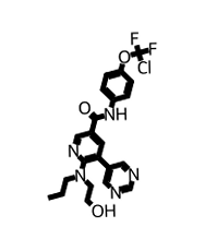 CCCN(CCO)c1ncc(C(=O)Nc2ccc(OC(F)(F)Cl)cc2)cc1-c1cncnc1